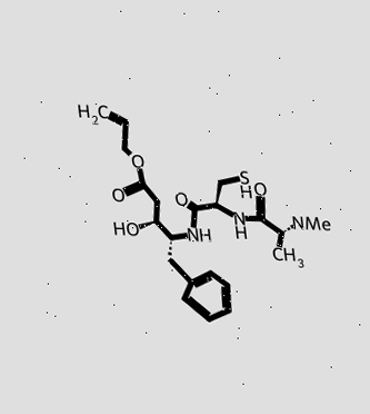 C=CCOC(=O)C[C@H](O)[C@@H](Cc1ccccc1)NC(=O)[C@@H](CS)NC(=O)[C@@H](C)NC